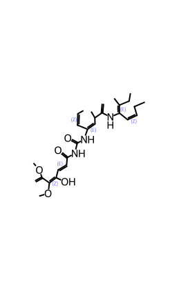 C=C(OC)/C(OC)=C(O)\C=C\C(=O)NC(=O)NC(/C=C\C)=C/C(C)C(=C)NC(/C=C\CC)=C(\C)CC